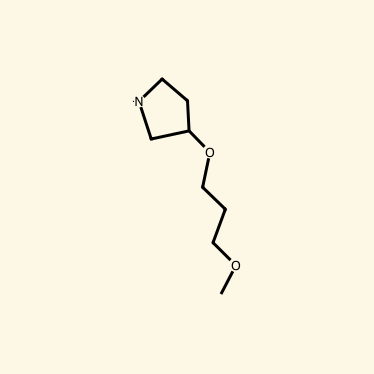 COCCCOC1CC[N]C1